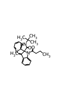 C=C1c2ccccc2N(C(=O)CCC)C1(C(=O)NC(C)(C)C)c1ccccn1